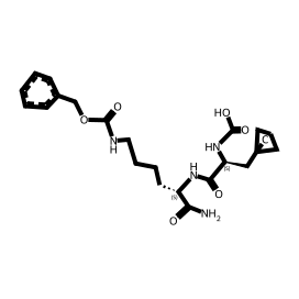 NC(=O)[C@H](CCCCNC(=O)OCc1ccccc1)NC(=O)[C@H](CC12CC(C1)C2)NC(=O)O